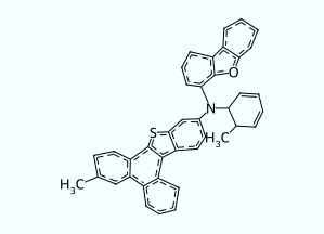 Cc1ccc2c(c1)c1ccccc1c1c3ccc(N(c4cccc5c4oc4ccccc45)C4C=CC=CC4C)cc3sc21